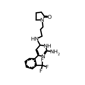 NC1=NC(c2ccccc2C(F)(F)F)=CC(NCCCN2CCCC2=O)N1